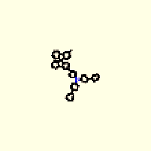 CC1C=CC(C2(c3ccccc3)c3ccccc3-c3cc(-c4ccc(N(c5ccc(-c6ccccc6)cc5)c5ccc(-c6ccccc6)cc5)cc4)ccc32)=CC1